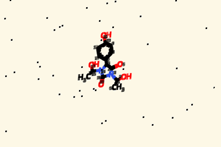 CC(O)N1C(=O)C(c2ccc(O)cc2)N(C(C)O)C1=O